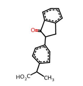 CC(C(=O)O)c1ccc(C2Cc3ccccc3C2=O)cc1